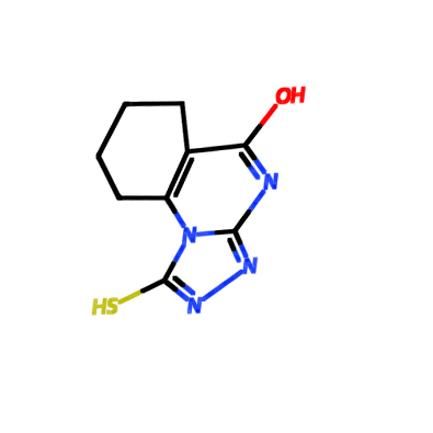 Oc1nc2nnc(S)n2c2c1CCCC2